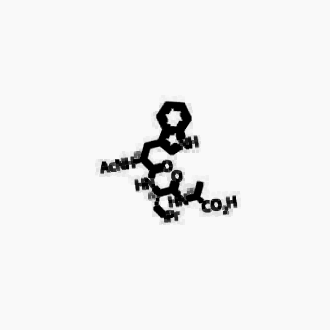 CC(=O)N[C@@H](Cc1c[nH]c2ccccc12)C(=O)N[C@@H](CC(C)C)C(=O)N[C@@H](C)C(=O)O